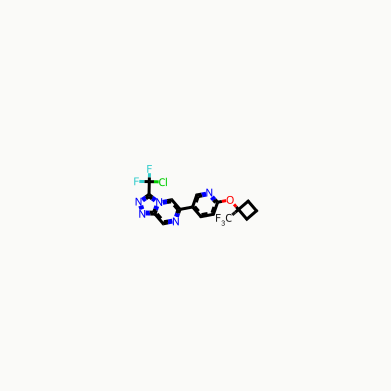 FC(F)(Cl)c1nnc2cnc(-c3ccc(OC4(C(F)(F)F)CCC4)nc3)cn12